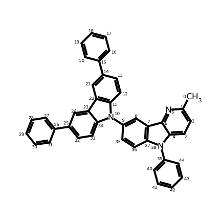 Cc1ccc2c(n1)c1cc(-n3c4ccc(-c5ccccc5)cc4c4cc(-c5ccccc5)ccc43)ccc1n2-c1ccccc1